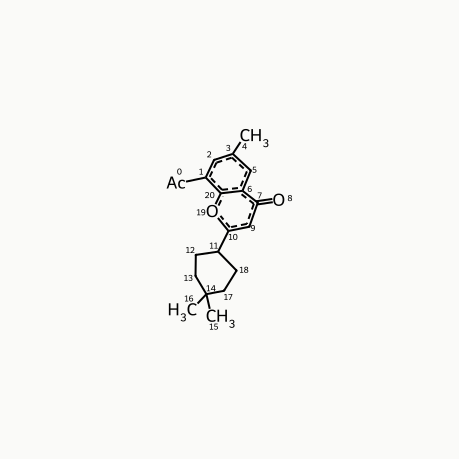 CC(=O)c1cc(C)cc2c(=O)cc(C3CCC(C)(C)CC3)oc12